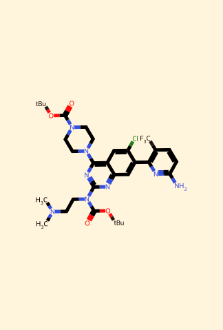 CN(C)CCN(C(=O)OC(C)(C)C)c1nc(N2CCN(C(=O)OC(C)(C)C)CC2)c2cc(Cl)c(-c3nc(N)ccc3C(F)(F)F)cc2n1